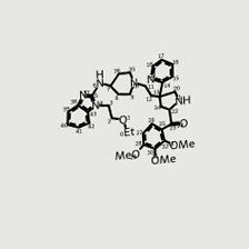 CCOCCn1c(NC2CCN(CCC3(c4ccccn4)CNC(C(=O)c4ccc(OC)c(OC)c4OC)C3)CC2)nc2ccccc21